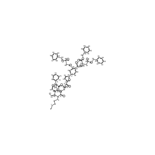 CCCCCC(C(=O)NCNC(=O)c1ccc(-c2ccc(C(=O)NC(CC(=O)OCc3ccccc3)C(=O)OCc3ccccc3)c(OCC(=O)OCc3ccccc3)c2)o1)[C@@H](CC)N(C=O)OC(=O)Nc1ccccc1